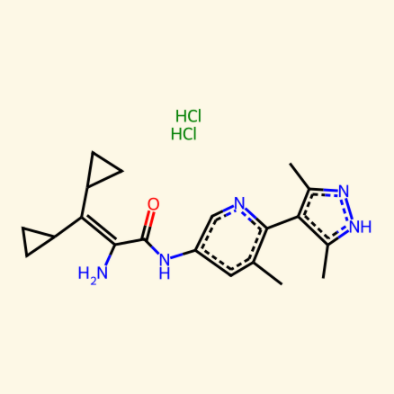 Cc1cc(NC(=O)C(N)=C(C2CC2)C2CC2)cnc1-c1c(C)n[nH]c1C.Cl.Cl